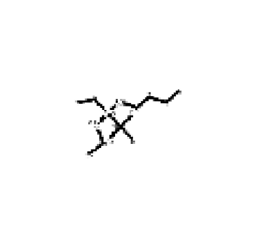 CCCCO[Si](CC)(OCC)C(C)(C)C